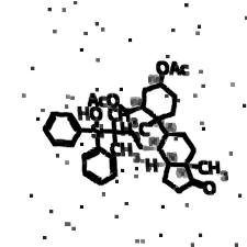 CC(=O)OC[C@H]1C[C@@H](OC(C)=O)CC[C@]1(C)[C@H]1CC[C@]2(C)C(=O)CC[C@H]2[C@@H]1CCC(C)(C)[Si](O)(c1ccccc1)c1ccccc1